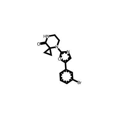 O=C1NCCN(c2ncc(-c3cccc(Br)c3)o2)C12CC2